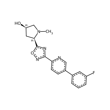 CN1C[C@H](O)C[C@@H]1c1nc(-c2ccc(-c3cccc(F)c3)cn2)no1